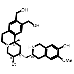 CC[C@H]1CN2CCc3cc(CO)c(CO)cc3[C@@H]2C[C@@H]1C[C@@H]1Cc2cc(OC)c(O)cc2CN1